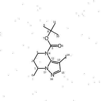 CC1CCN(C(=O)OC(C)(C)C)c2c(I)cnn21